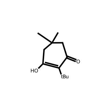 CC1(C)CC(=O)C(C(C)(C)C)=C(O)C1